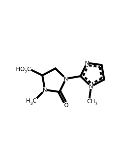 CN1C(=O)N(c2nccn2C)CC1C(=O)O